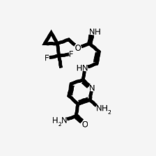 CC(F)(F)C1(COC(=N)/C=C\Nc2ccc(C(N)=O)c(N)n2)CC1